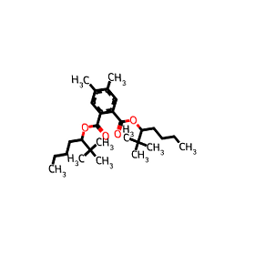 CCCCC(OC(=O)c1cc(C)c(C)cc1C(=O)OC(CCCC)C(C)(C)C)C(C)(C)C